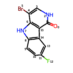 O=c1[nH]cc(Br)c2[nH]c3ccc(F)cc3c12